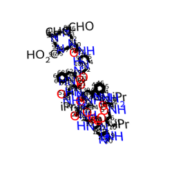 CC(C)C[C@H](NC(=O)C[C@H](O)[C@H](CC(C)C)NC(=O)[C@H](Cc1c[nH]cn1)NC(=O)CNC(=O)[C@@H](NC(=O)[C@H](C)NC(=O)[C@H](Cc1c[nH]c2ccccc12)NC(=O)[C@H](CCC(N)=O)NC(=O)[C@@H](Cc1ccccc1)NC(=O)CN1CCC(NC(=O)CN2CCN(CC=O)CCN(CC=O)CCN(CC(=O)O)CC2)CC1)C(C)C)C(N)=O